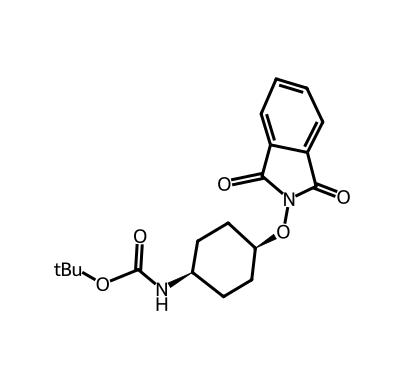 CC(C)(C)OC(=O)N[C@H]1CC[C@@H](ON2C(=O)c3ccccc3C2=O)CC1